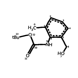 Cc1cccc(CO)c1NC(=O)OC(C)(C)C